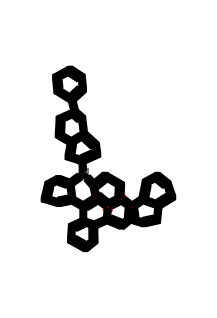 c1ccc(-c2ccc3cc(N(c4ccc(-c5cccc6ccccc56)cc4)c4ccccc4-c4cc5ccccc5c5ccccc45)ccc3c2)cc1